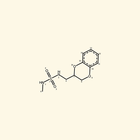 CNS(=O)(=O)NCC1COc2ccccc2O1